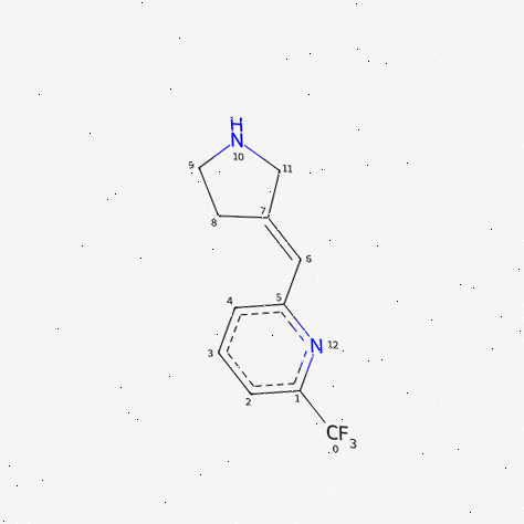 FC(F)(F)c1cccc(/C=C2\CCNC2)n1